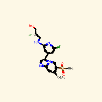 COc1cc2ncc(-c3cc(F)nc(NC[C@H](F)CO)c3)n2cc1S(=O)(=O)C(C)(C)C